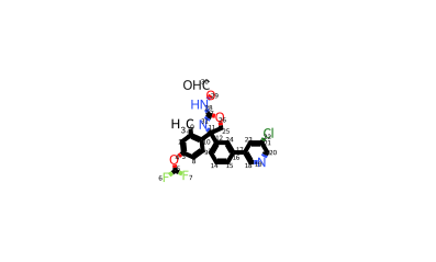 Cc1cc(OC(F)F)ccc1C1(c2cccc(-c3cncc(Cl)c3)c2)COC(NOC=O)=N1